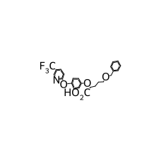 O=C(O)C(CCCOCc1ccccc1)Oc1ccc(Oc2ccc(C(F)(F)F)cn2)cc1